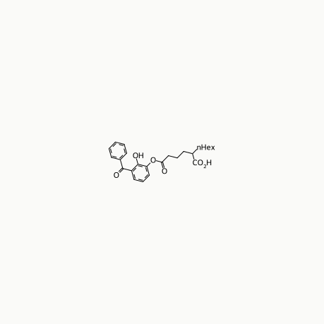 CCCCCCC(CCCC(=O)Oc1cccc(C(=O)c2ccccc2)c1O)C(=O)O